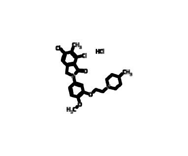 COc1ccc(N2Cc3cc(Cl)c(C)c(Cl)c3C2=O)cc1OCCN1CCC(C)CC1.Cl